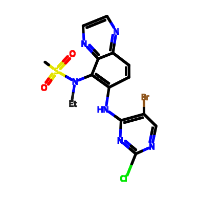 CCN(c1c(Nc2nc(Cl)ncc2Br)ccc2nccnc12)S(C)(=O)=O